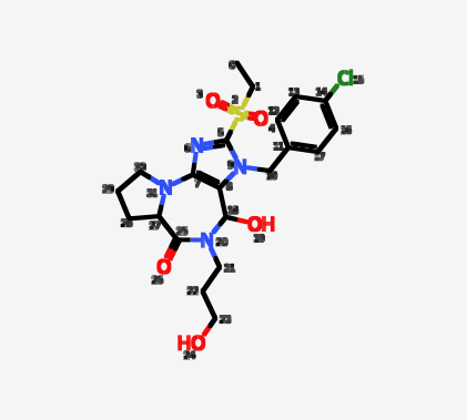 CCS(=O)(=O)c1nc2c(n1Cc1ccc(Cl)cc1)C(O)N(CCCO)C(=O)C1CCCN21